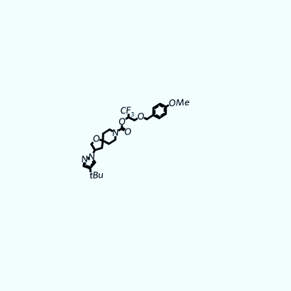 COc1ccc(COCC(OC(=O)N2CCC3(CC2)CC(n2cc(C(C)(C)C)cn2)CO3)C(F)(F)F)cc1